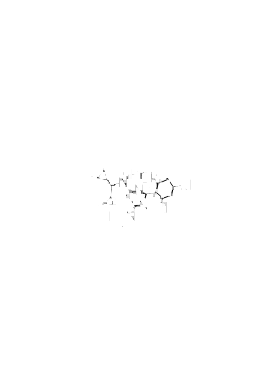 CCCN(c1nc(N)nc(-c2c(Cl)cc(Cl)cc2Cl)n1)C(C1CC1)C1CC1